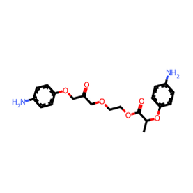 CC(Oc1ccc(N)cc1)C(=O)OCCOCC(=O)COc1ccc(N)cc1